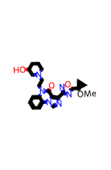 COC1(c2nc(-c3ncn4c3c(=O)n(CCN3CCCC(O)C3)c3ccccc34)no2)CC1